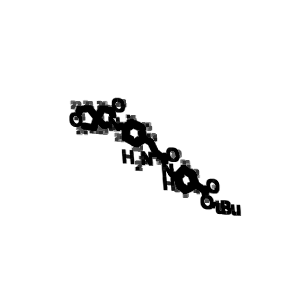 CC(C)(C)OC(=O)c1ccc(NC(=O)[C@@H](N)Cc2ccc(N3CC4(CCOCC4)CC3=O)cc2)cc1